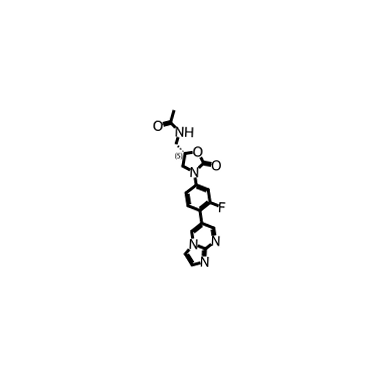 CC(=O)NC[C@H]1CN(c2ccc(-c3cnc4nccn4c3)c(F)c2)C(=O)O1